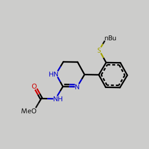 CCCCSc1ccccc1C1CCNC(NC(=O)OC)=N1